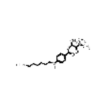 CCCCCCCCCCCCCCCCNc1ccc(C(=O)OC(C)C(=O)N(C)C)cc1